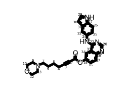 O=C(C#CCCCCN1CCOCC1)Oc1ccc2ncnc(Nc3ccc4[nH]ccc4c3)c2c1